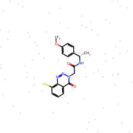 C[C@H](NC(=O)Cn1nnc2c(S)cccc2c1=O)c1ccc(OC(F)(F)F)cc1